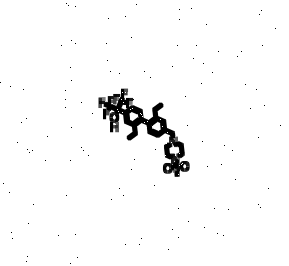 CCc1cc(CN2CCN(S(C)(=O)=O)CC2)ccc1-c1ccc(C(O)(C(F)(F)F)C(F)(F)F)cc1CC